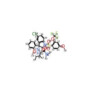 CC[C@H](C)[C@H](NC1(c2ccccc2OC)C(=O)N(S(=O)(=O)c2ccc(OC)cc2OC(F)(F)F)c2ccc(Cl)cc21)C(=O)N(C)C